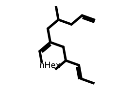 C=CCC(C)CC(=CCCCCCC)CC(C)C=CC